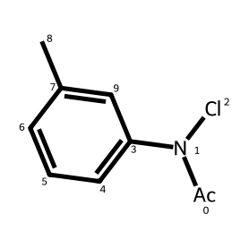 CC(=O)N(Cl)c1cccc(C)c1